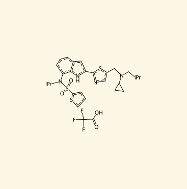 CC(C)CN(Cc1cnc(-c2cc3cccc(N(C(C)C)S(=O)(=O)c4cccs4)c3[nH]2)s1)C1CC1.O=C(O)C(F)(F)F